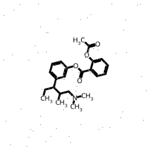 CCC(c1cccc(OC(=O)c2ccccc2OC(C)=O)c1)C(C)CN(C)C